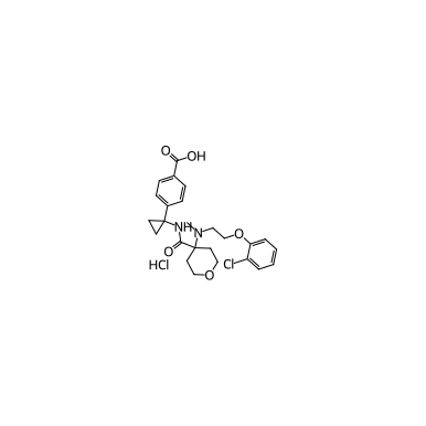 CN(CCOc1ccccc1Cl)C1(C(=O)NC2(c3ccc(C(=O)O)cc3)CC2)CCOCC1.Cl